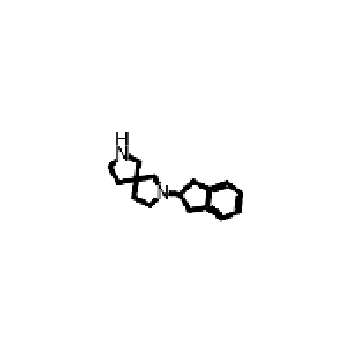 c1ccc2c(c1)CC(N1CCC3(CCNC3)C1)C2